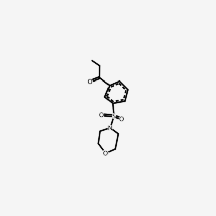 CCC(=O)c1cccc(S(=O)(=O)N2CCOCC2)c1